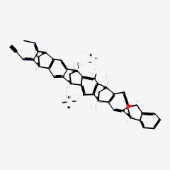 C#C/C=C1\C(=C/C)[C@H]2C[C@@H]1c1cc3c(cc12)[C@H]1C[C@@H]3c2c(OP(=O)(O)O)c3c(c(OP(=O)(O)O)c21)[C@H]1C[C@@H]3c2cc3c(cc21)[C@H]1C[C@@H]3c2ccccc21